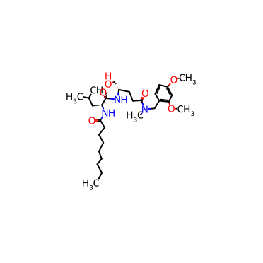 CCCCCCCCC(=O)N[C@@H](CC(C)C)C(=O)N[C@H](CO)CCC(=O)N(C)Cc1ccc(OC)cc1OC